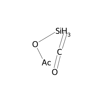 C=C=O.CC(=O)O[SiH3]